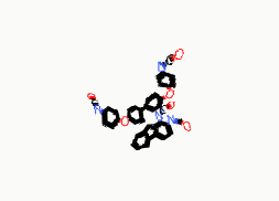 O=C=Nc1ccc(Oc2ccc(-c3ccc(Oc4ccc(N=C=O)cc4)cc3)cc2)cc1.O=C=Nc1ccc2c(c1N=C=O)Cc1ccccc1-2